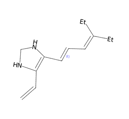 C=CC1=C(/C=C/C=C(CC)CC)NCN1